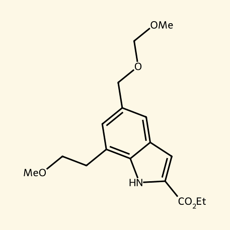 CCOC(=O)c1cc2cc(COCOC)cc(CCOC)c2[nH]1